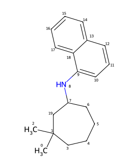 CC1(C)CCCCC(Nc2cccc3ccccc23)C1